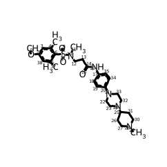 COc1cc(C)c(S(=O)(=O)N(C)CCC(=O)Nc2ccc(N3CCN(C4CCN(C)CC4)CC3)cc2)c(C)c1